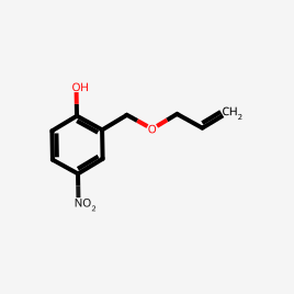 C=CCOCc1cc([N+](=O)[O-])ccc1O